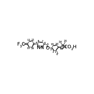 Cc1cc(OCc2ccc(-c3ccc(C(F)(F)F)cc3)nn2)ccc1OC(C)(C)C(=O)O